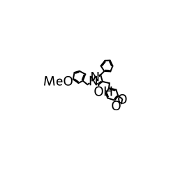 COc1cccc(Cn2nc(-c3ccccc3)c(Cc3ccc4c(c3)OCO4)c2O)c1